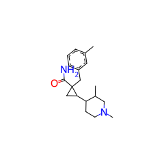 Cc1cccc(CC2(C(N)=O)CC2C2CCN(C)CC2C)c1